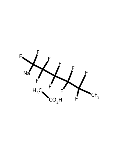 CC(=O)O.FC(F)(F)C(F)(F)C(F)(F)C(F)(F)C(F)(F)[C](F)(F)[Na]